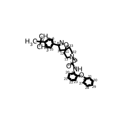 CC(C)(C)c1ccc(C2=NOC3(CCN(OC(=O)Nc4ccccc4Oc4ccccc4)CC3)C2)cc1